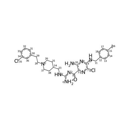 N/C(=N\C(=O)c1nc(Cl)c(NCc2ccc(I)cc2)nc1N)NCC1CCN(CCc2cccc(Cl)c2)CC1